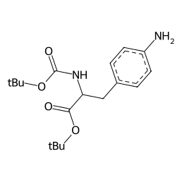 CC(C)(C)OC(=O)NC(Cc1ccc(N)cc1)C(=O)OC(C)(C)C